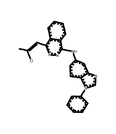 C/C(Cl)=C/c1nnc(Nc2ccc3c(c2)ncn3-c2ccccc2)c2ccccc12